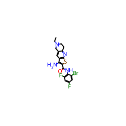 CCN1CCc2nc3sc(C(=O)Nc4c(F)cc(F)cc4Br)c(N)c3cc2C1